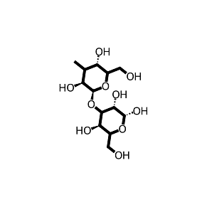 CC1[C@H](O)C(CO)O[C@@H](OC2[C@H](O)C(CO)O[C@@H](O)[C@H]2O)[C@H]1O